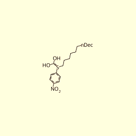 CCCCCCCCCCCCCCCCS(=C(O)O)c1ccc([N+](=O)[O-])cc1